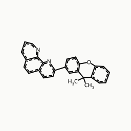 CC1(C)c2ccccc2Oc2ccc(-c3ccc4ccc5cccnc5c4n3)cc21